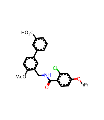 CCCOc1ccc(C(=O)NCc2cc(-c3cccc(C(=O)O)c3)ccc2OC)c(Cl)c1